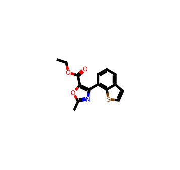 CCOC(=O)c1oc(C)nc1-c1cccc2ccsc12